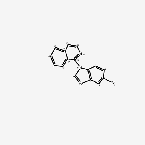 Brc1ccc2c(c1)ncn2-c1nccc2ccccc12